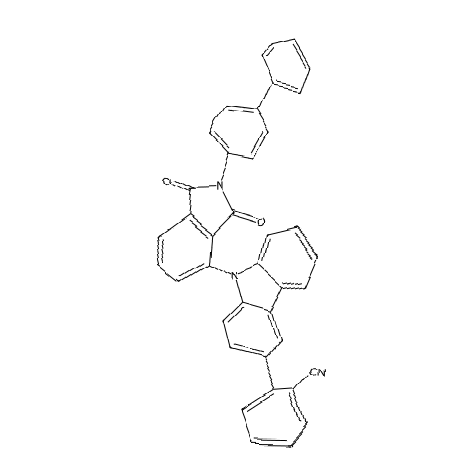 N#Cc1ccccc1-c1ccc2c(c1)c1ccccc1n2-c1cccc2c1C(=O)N(c1ccc(-c3ccccc3)cc1)C2=O